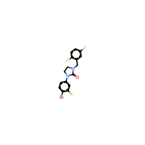 O=C1N(Cc2cc(F)ccc2F)CCN1c1ccc(Br)c(F)c1